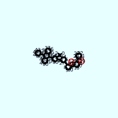 CC1(C)c2ccc(-c3cccc4c3oc3c4ccc4oc5ccccc5c43)cc2-c2ccc(-c3c4ccccc4c(-c4ccccc4)c4ccccc34)cc21